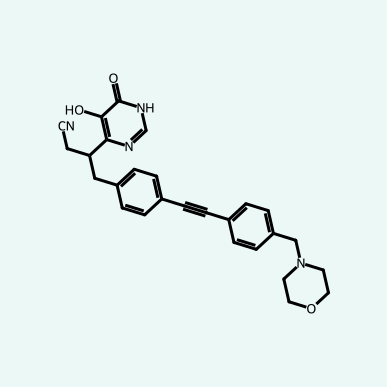 N#CCC(Cc1ccc(C#Cc2ccc(CN3CCOCC3)cc2)cc1)c1nc[nH]c(=O)c1O